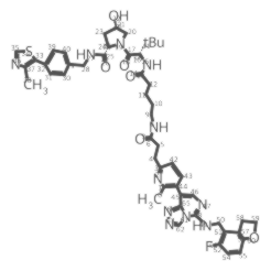 Cc1nc(CCC(=O)NCCCCC(=O)N[C@H](C(=O)N2C[C@H](O)C[C@H]2C(=O)NCc2ccc(-c3scnc3C)cc2)C(C)(C)C)ccc1-c1cnc(NCc2c(F)ccc3c2CCO3)n2cnnc12